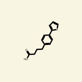 O=C(O)CCCc1ccc(-c2cccs2)cc1